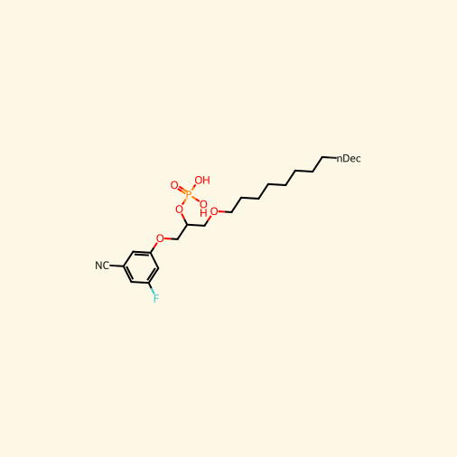 CCCCCCCCCCCCCCCCCCOCC(COc1cc(F)cc(C#N)c1)OP(=O)(O)O